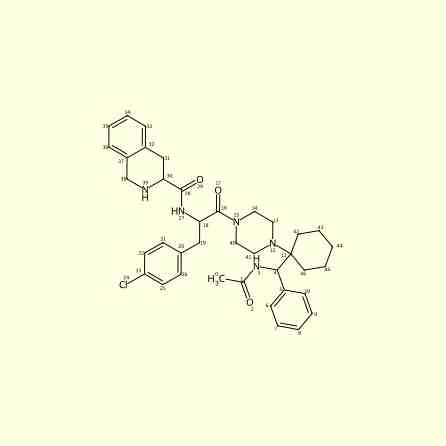 CC(=O)NC(c1ccccc1)C1(N2CCN(C(=O)C(Cc3ccc(Cl)cc3)NC(=O)C3Cc4ccccc4CN3)CC2)CCCCC1